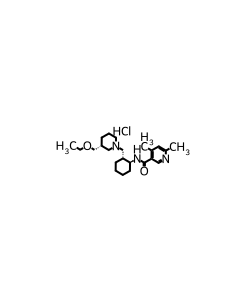 CCOC[C@@H]1CCCN(C[C@H]2CCCC[C@@H]2NC(=O)c2cnc(C)cc2C)C1.Cl